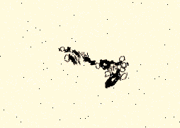 COCC(C)N1CC(NCCCCOc2ccc(C[C@H](NC(=O)c3c(Cl)cccc3Cl)C(=O)OC)cc2)=NCC1=O